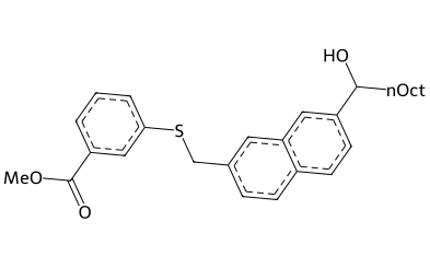 CCCCCCCCC(O)c1ccc2ccc(CSc3cccc(C(=O)OC)c3)cc2c1